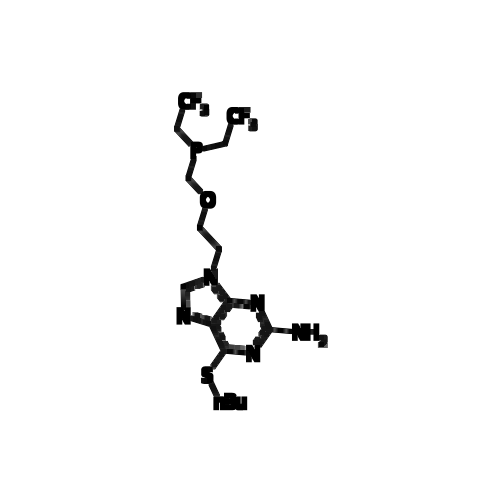 CCCCSc1nc(N)nc2c1ncn2CCOCP(CC(F)(F)F)CC(F)(F)F